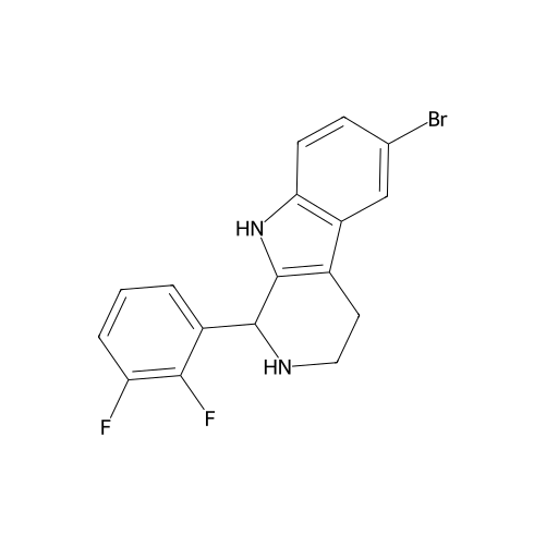 Fc1cccc(C2NCCc3c2[nH]c2ccc(Br)cc32)c1F